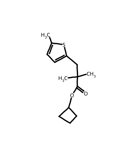 Cc1ccc(CC(C)(C)C(=O)OC2CCC2)s1